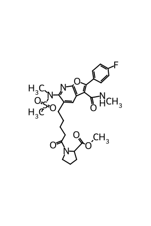 CNC(=O)c1c(-c2ccc(F)cc2)oc2nc(N(C)S(C)(=O)=O)c(CCCCC(=O)N3CCCC3C(=O)OC)cc12